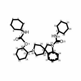 O=C(NC1CCCCC1)O[C@@H]1CCCC[C@@H]1N1CCC2(CC1)CN(C(=O)NC1CCCCC1)c1ccccc12